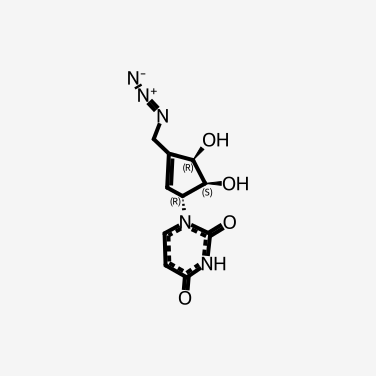 [N-]=[N+]=NCC1=C[C@@H](n2ccc(=O)[nH]c2=O)[C@H](O)[C@@H]1O